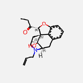 C=CCN1CC[C@]23c4c(cccc4O[C@H]2C(=O)CC)C[C@@H]1[C@@]3(C)O